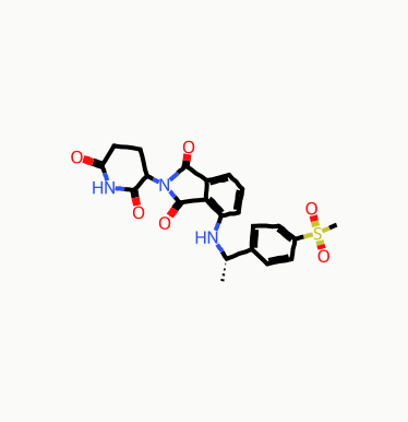 C[C@H](Nc1cccc2c1C(=O)N(C1CCC(=O)NC1=O)C2=O)c1ccc(S(C)(=O)=O)cc1